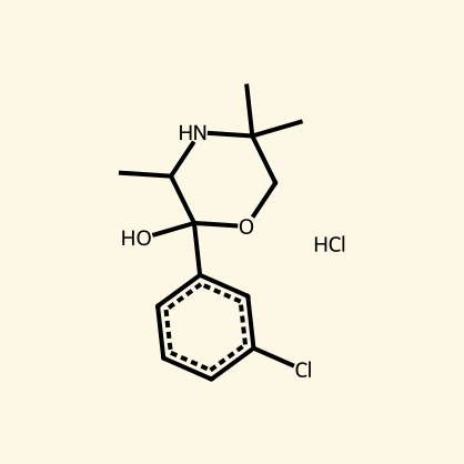 CC1NC(C)(C)COC1(O)c1cccc(Cl)c1.Cl